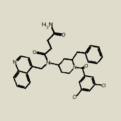 NC(=O)CCC(=O)N(Cc1ccnc2ccccc12)C1CCN(C(=O)c2cc(Cl)cc(Cl)c2)C(Cc2ccccc2)C1